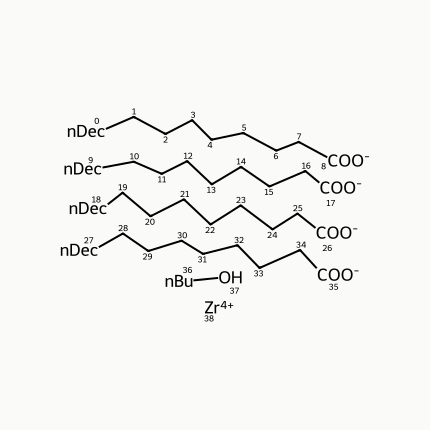 CCCCCCCCCCCCCCCCCC(=O)[O-].CCCCCCCCCCCCCCCCCC(=O)[O-].CCCCCCCCCCCCCCCCCC(=O)[O-].CCCCCCCCCCCCCCCCCC(=O)[O-].CCCCO.[Zr+4]